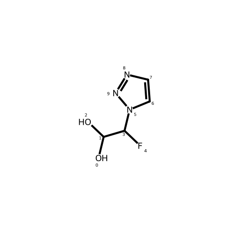 OC(O)C(F)n1ccnn1